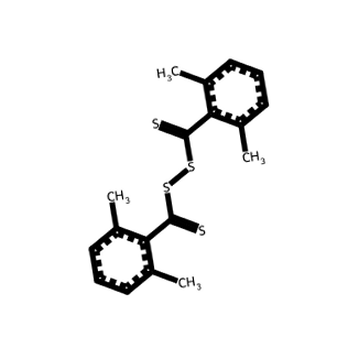 Cc1cccc(C)c1C(=S)SSC(=S)c1c(C)cccc1C